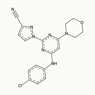 N#Cc1ccn(-c2nc(Nc3ccc(Cl)cc3)cc(N3CCOCC3)n2)n1